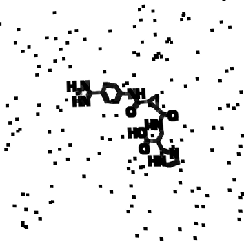 N=C(N)c1ccc(NC(=O)C2CC2C(=O)NCC(C(=O)O)c2ncc[nH]2)cc1